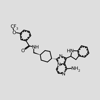 Nc1nccn2c1c(C1Cc3ccccc3N1)nc2[C@H]1CC[C@H](CNC(=O)c2cccc(OC(F)(F)F)c2)CC1